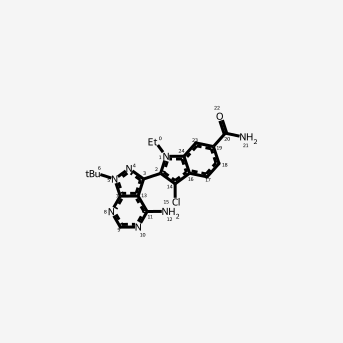 CCn1c(-c2nn(C(C)(C)C)c3ncnc(N)c23)c(Cl)c2ccc(C(N)=O)cc21